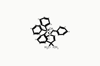 CC1(C)C=CS(Cc2ccccc2)(P(C)(c2ccccc2)(c2ccccc2)c2ccccc2)CC1